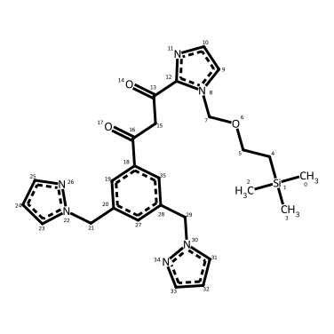 C[Si](C)(C)CCOCn1ccnc1C(=O)CC(=O)c1cc(Cn2cccn2)cc(Cn2cccn2)c1